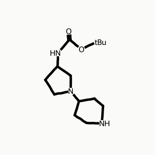 CC(C)(C)OC(=O)NC1CCN(C2CCNCC2)C1